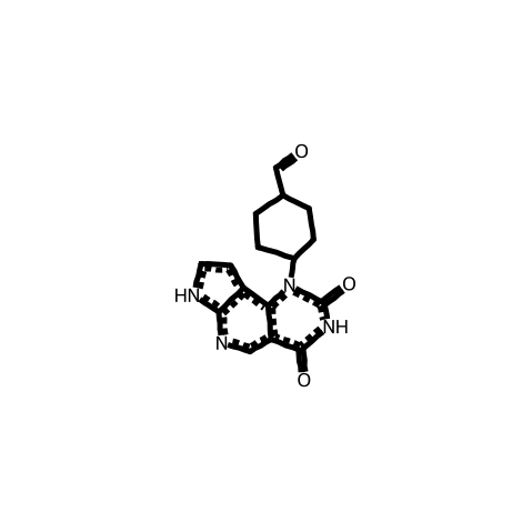 O=CC1CCC(n2c(=O)[nH]c(=O)c3cnc4[nH]ccc4c32)CC1